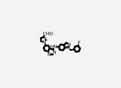 O=CC1=CCN(c2ccc3ncnc(Nc4ccc5c(cnn5Cc5cccc(F)c5)c4)c3c2)S1